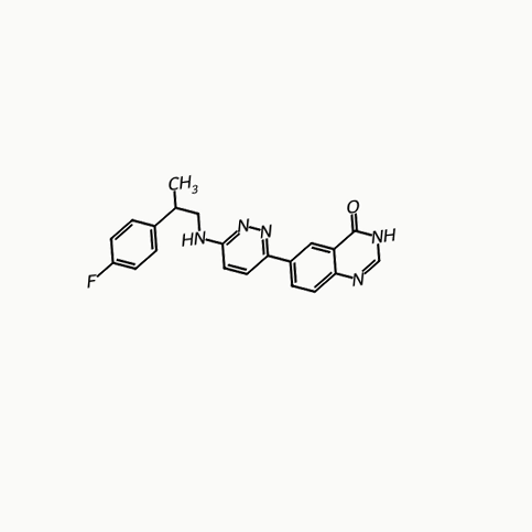 CC(CNc1ccc(-c2ccc3nc[nH]c(=O)c3c2)nn1)c1ccc(F)cc1